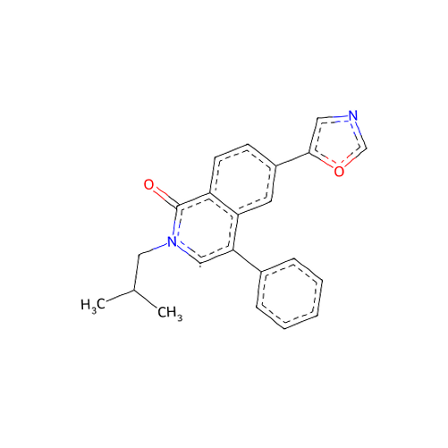 CC(C)Cn1[c]c(-c2ccccc2)c2cc(-c3cnco3)ccc2c1=O